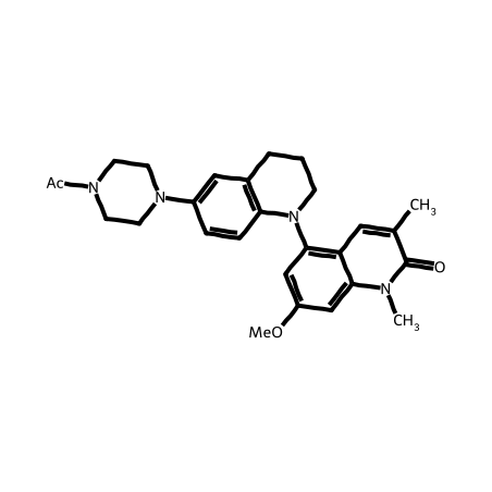 COc1cc(N2CCCc3cc(N4CCN(C(C)=O)CC4)ccc32)c2cc(C)c(=O)n(C)c2c1